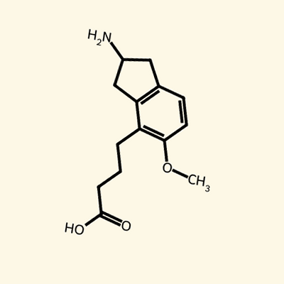 COc1ccc2c(c1CCCC(=O)O)CC(N)C2